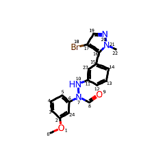 COc1cccc(N(C=O)Nc2cccc(-c3c(Br)cnn3C)c2)c1